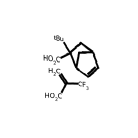 C=C(C(=O)O)C(F)(F)F.CC(C)(C)C1(C(=O)O)CC2C=CC1C2